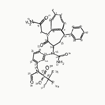 Cc1ccc2c(c1)N(CC(N)=O)C(=O)C(N(C(N)=O)c1cccc(N(C=O)S(=O)(=O)C(F)(F)F)c1)CC2c1ccccc1